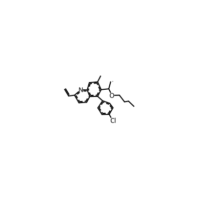 [CH2]C(OCCCC)c1c(C)cc2nc(C=C)ccc2c1-c1ccc(Cl)cc1